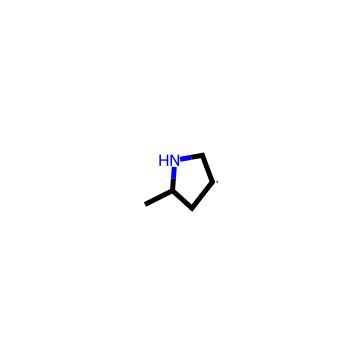 CC1C[CH]CN1